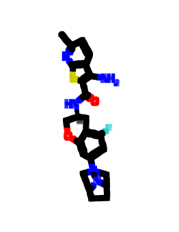 Cc1ccc2c(N)c(C(=O)N[C@H]3COc4cc(N5CC6CCC(C5)N6C)cc(F)c4C3)sc2n1